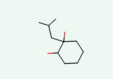 CC(C)CC1(O)CCCCC1O